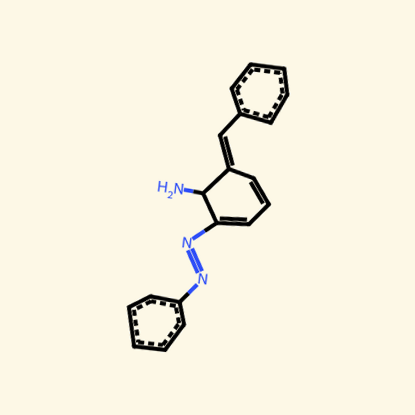 NC1C(=Cc2ccccc2)C=CC=C1N=Nc1ccccc1